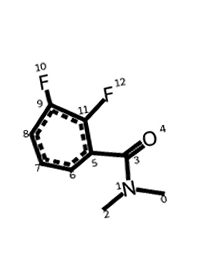 CN(C)C(=O)c1cccc(F)c1F